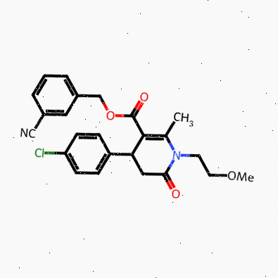 COCCN1C(=O)CC(c2ccc(Cl)cc2)C(C(=O)OCc2cccc(C#N)c2)=C1C